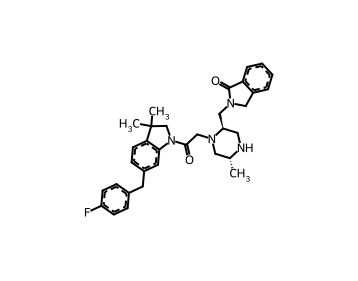 C[C@@H]1CN(CC(=O)N2CC(C)(C)c3ccc(Cc4ccc(F)cc4)cc32)[C@@H](CN2Cc3ccccc3C2=O)CN1